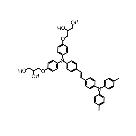 Cc1ccc(N(c2ccc(C)cc2)c2ccc(C=Cc3ccc(N(c4ccc(OCC(O)CO)cc4)c4ccc(OCC(O)CO)cc4)cc3)cc2)cc1